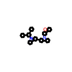 c1ccc(-c2cc(-c3ccccc3)cc(-n3c4ccccc4c4cc(-c5ccc6c7ccccc7n(-c7ccc8oc9ccccc9c8c7)c6c5)ccc43)c2)cc1